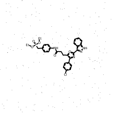 CCOP(=O)(Cc1ccc(NC(=O)CCc2oc(-c3n[nH]c4ccccc34)nc2-c2ccc(Cl)cc2)cc1)OCC